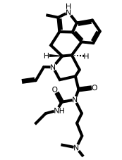 C=CCN1CC(C(=O)N(CCCN(C)C)C(=O)NCC)C[C@@H]2c3cccc4[nH]c(C)c(c34)C[C@H]21